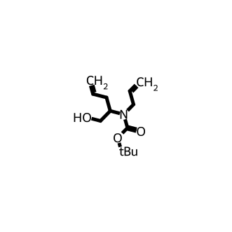 C=CCC(CO)N(CC=C)C(=O)OC(C)(C)C